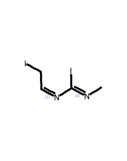 C/N=C(I)/N=C\CI